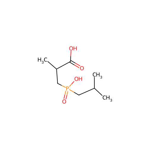 CC(C)CP(=O)(O)CC(C)C(=O)O